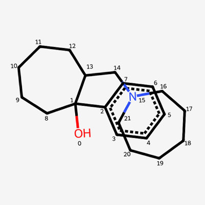 OC1(c2ccccc2)CCCCCC1CN1CCCCCC1